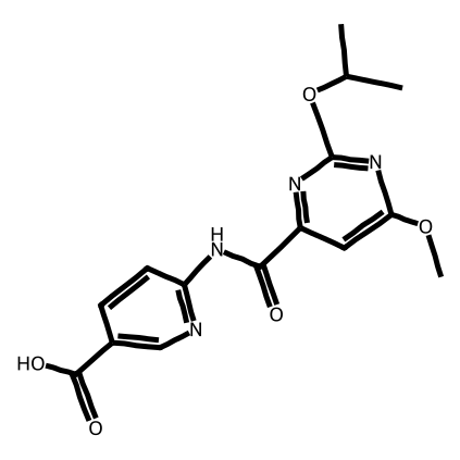 COc1cc(C(=O)Nc2ccc(C(=O)O)cn2)nc(OC(C)C)n1